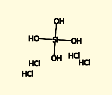 Cl.Cl.Cl.Cl.O[Si](O)(O)O